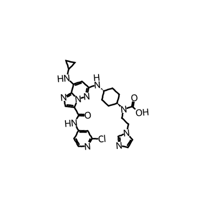 O=C(Nc1ccnc(Cl)c1)c1cnc2c(NC3CC3)cc(N[C@H]3CC[C@H](N(CCn4ccnc4)C(=O)O)CC3)nn12